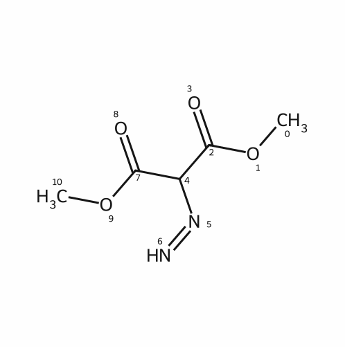 COC(=O)C(N=N)C(=O)OC